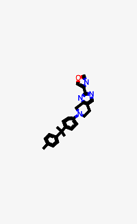 Cc1ccc(C(C)(C)c2ccc(N3CCc4cnc(-c5cocn5)nc4C3)cc2)cc1